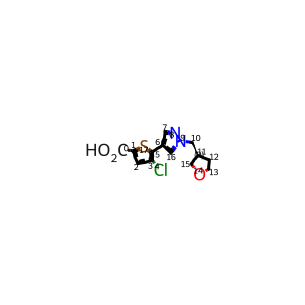 O=C(O)c1cc(Cl)c(-c2cnn(C[C@H]3CCOC3)c2)s1